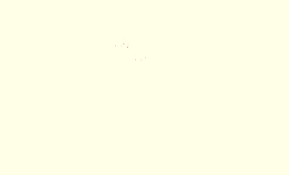 CCCOCCON=O